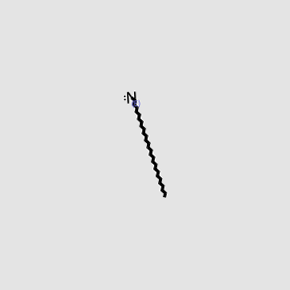 CCCCCCCCCCCCCCCCCCCCCCCCCC/C=C/[N]